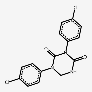 O=C1NCN(c2ccc(Cl)cc2)C(=O)N1c1ccc(Cl)cc1